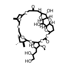 C=C1CC2CCC(=O)C[C@@H]3O[C@H]4[C@@H](O)[C@H]5OC(CC[C@@H]5O[C@H]4[C@H]3O)CC(=O)CC3[C@@H](OC)C(C[C@H](O)CO)O[C@H]3CC3O[C@@H](CCC1O2)C[C@@H](C)C3=C